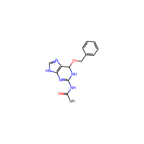 CCCC(=O)NC1=Nc2[nH]cnc2C(OCc2ccccc2)N1